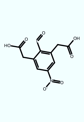 O=Ic1c(CC(=O)O)cc([N+](=O)[O-])cc1CC(=O)O